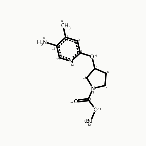 Cc1cc(OC2CCN(C(=O)OC(C)(C)C)C2)ncc1N